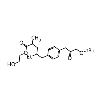 CCC(Cc1ccc(CC(=O)COC(C)(C)C)cc1)CC(C)C(=O)OCCO